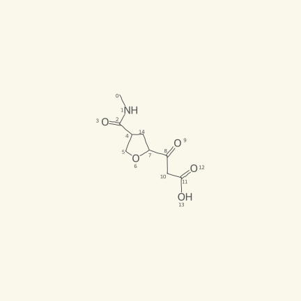 CNC(=O)C1COC(C(=O)CC(=O)O)C1